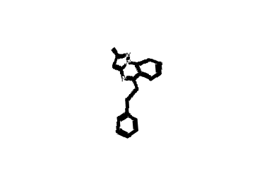 Cc1cc2nc(CCc3ccccc3)c3ccccc3n2n1